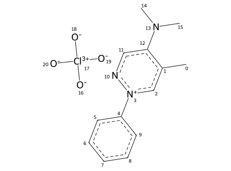 Cc1c[n+](-c2ccccc2)ncc1N(C)C.[O-][Cl+3]([O-])([O-])[O-]